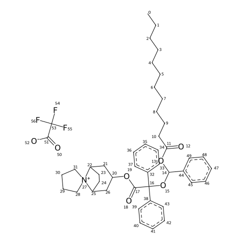 CCCCCCCCCCCC(=O)OC(OC(C(=O)OC1CC2CCC(C1)[N+]21CCCC1)(c1ccccc1)c1ccccc1)c1ccccc1.O=C([O-])C(F)(F)F